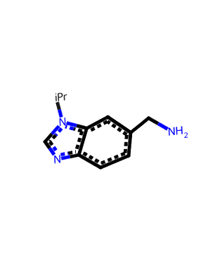 CC(C)n1cnc2ccc(CN)cc21